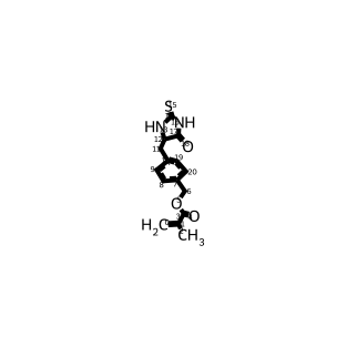 C=C(C)C(=O)OCc1ccc(CC2NC(=S)NC2=O)cc1